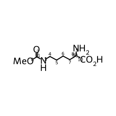 COC(=O)NCCCC[C@@H](N)C(=O)O